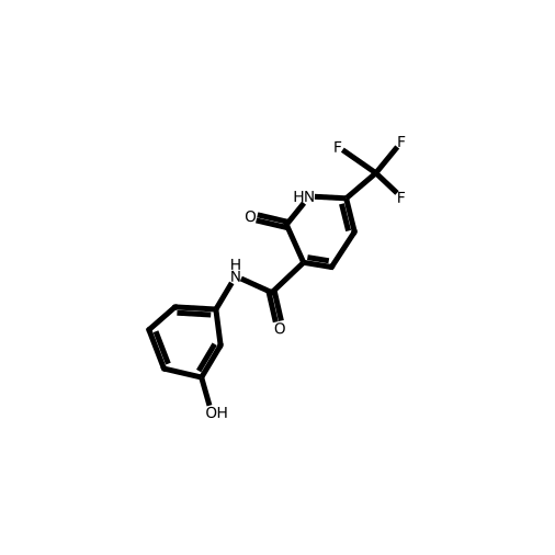 O=C(Nc1cccc(O)c1)c1ccc(C(F)(F)F)[nH]c1=O